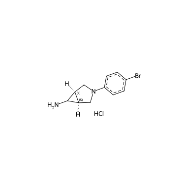 Cl.NC1[C@H]2CN(c3ccc(Br)cc3)C[C@@H]12